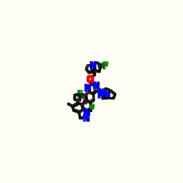 Cc1cc2cnn(C)c2c(-c2c(F)cc3c(N4CC5CCC(C4)N5)nc(OC[C@@]45CCCN4C[C@H](F)C5)nc3c2F)c1C(F)(F)F